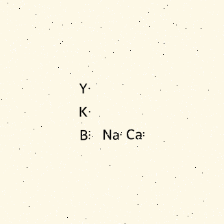 [B].[Ca].[K].[Na].[Y]